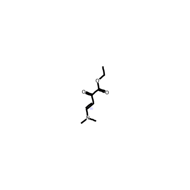 CCOC(=O)C(=O)/C=C/N(C)C